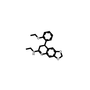 CCNC1=Nc2cc3c(cc2C(c2ccccc2OCC)C1)OCO3